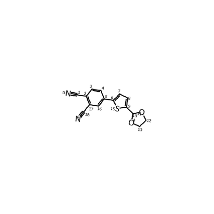 N#Cc1ccc(-c2ccc(C3OCCO3)s2)cc1C#N